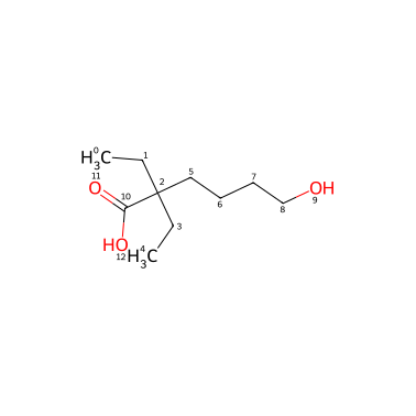 CCC(CC)(CCCCO)C(=O)O